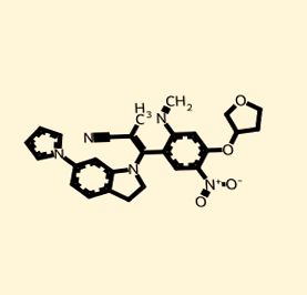 C=Nc1cc(OC2CCOC2)c([N+](=O)[O-])cc1/C(=C(\C)C#N)N1CCc2ccc(-n3cccc3)cc21